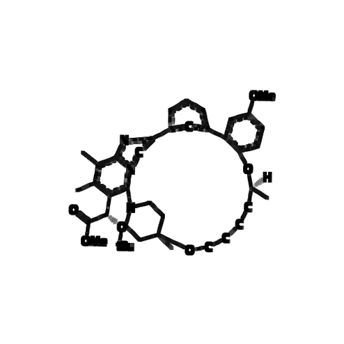 COC(=O)[C@@H](OC(C)(C)C)c1c(C)c(C)c2nc3cn2c1N1CCC(C)(CC1)OCCCC[C@H](C)Oc1ccc(OC)cc1-c1cccc-3c1